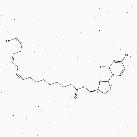 CC/C=C\C/C=C\C/C=C\CCCCCCCC(=O)OC[C@@H]1CCC(n2ccc(N)nc2=O)O1